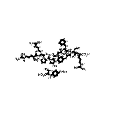 CC(C)C[C@H](NC(=O)[C@@H](Cc1ccccc1)NC(=O)[C@H](Cc1ccccc1)NC(=O)CNC(=O)[C@@H]1C[C@H](O)CN1C(=O)[C@@H]1CCCN1C(=O)[C@H](CCCNC(=N)N)NC(=O)[C@H](N)CCCNC(=N)N)C(=O)N[C@@H](CCCNC(=N)N)C(=O)O.CCCCCCc1ccc(NC(CS)C(=O)O)cc1